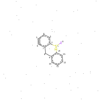 I[SH]1c2ccc#cc2Cc2ccccc21